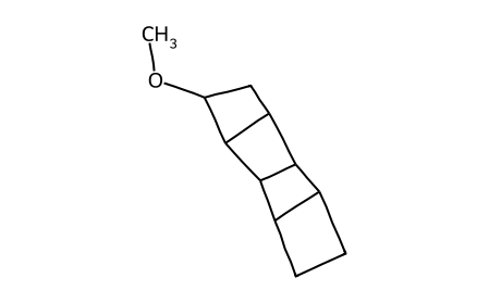 COC1CC2C1C1C3CCC3C21